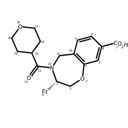 CC[C@H]1COc2cc(C(=O)O)ccc2CN1C(=O)C1CCOCC1